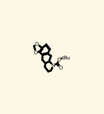 CC(C)(C)OC(=O)N1CCCC2Cc3c(ccc4c3OCO4)CC21